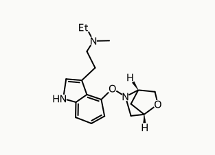 CCN(C)CCc1c[nH]c2cccc(ON3C[C@@H]4C[C@H]3CO4)c12